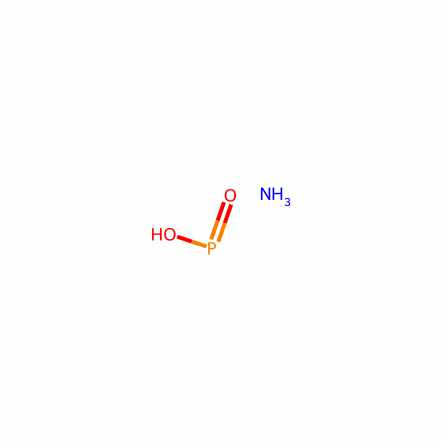 N.O=PO